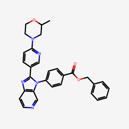 CC1CN(c2ccc(-c3nc4ccncc4n3-c3ccc(C(=O)OCc4ccccc4)cc3)cn2)CCO1